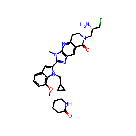 Cn1c(-c2cc3cccc(OC[C@H]4CCC(=O)NC4)c3n2CC2CC2)nc2cc3c(nc21)CCN(C[C@H](N)CF)C3=O